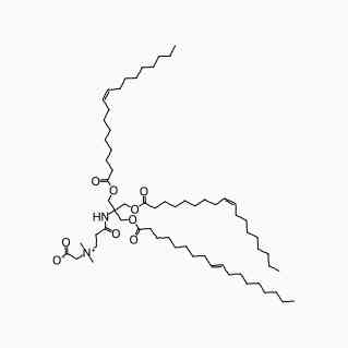 CCCCCCCCC=CCCCCCCCC(=O)OCC(COC(=O)CCCCCCC/C=C\CCCCCCCC)(COC(=O)CCCCCCC/C=C\CCCCCCCC)NC(=O)CC[N+](C)(C)CC(=O)[O-]